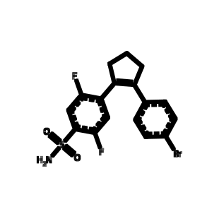 NS(=O)(=O)c1cc(F)c(C2=C(c3ccc(Br)cc3)CCC2)cc1F